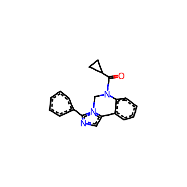 O=C(C1CC1)N1Cn2c(cnc2-c2ccccc2)-c2ccccc21